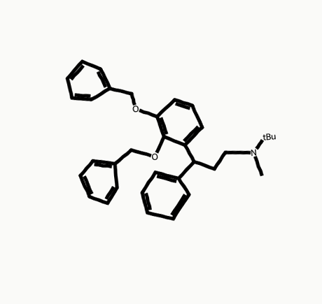 CN(CCC(c1ccccc1)c1cccc(OCc2ccccc2)c1OCc1ccccc1)C(C)(C)C